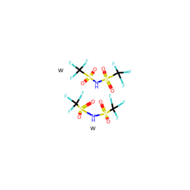 O=S(=O)(NS(=O)(=O)C(F)(F)F)C(F)(F)F.O=S(=O)(NS(=O)(=O)C(F)(F)F)C(F)(F)F.[W].[W]